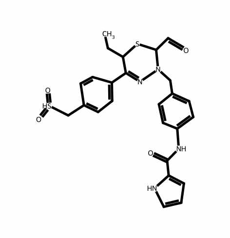 CCC1SC(C=O)N(Cc2ccc(NC(=O)c3ccc[nH]3)cc2)N=C1c1ccc(C[SH](=O)=O)cc1